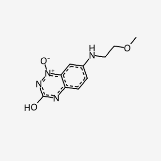 COCCNc1ccc2nc(O)n[n+]([O-])c2c1